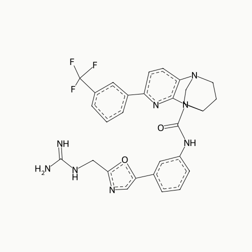 N=C(N)NCc1ncc(-c2cccc(NC(=O)N3c4nc(-c5cccc(C(F)(F)F)c5)ccc4N4CCC3CC4)c2)o1